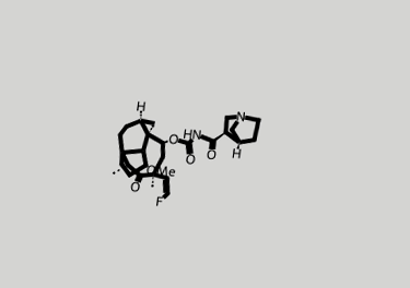 CO[C@@H]1CCC23CC[C@H]4C[C@@]4(C12)[C@H](OC(=O)NC(=O)[C@H]1CN2CC[C@@H]1C2)C[C@@](C)(/C=C\F)C(=O)[C@@H]3C